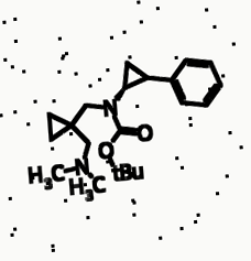 CN(C)CC1(CN(C(=O)OC(C)(C)C)[C@H]2CC2c2ccccc2)CC1